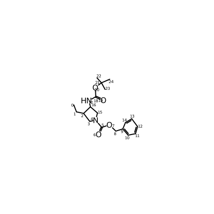 CCC1CN(C(=O)OCc2ccccc2)CC1NC(=O)OC(C)(C)C